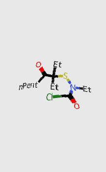 CCCCCC(=O)C(CC)(CC)SN(CC)C(=O)Cl